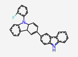 Fc1ccccc1N1c2ccccc2C2C=C(c3ccc4[nH]c5ccccc5c4c3)C=CC21